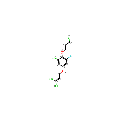 Fc1cc(OCC=C(Cl)Cl)cc(Cl)c1OCCCCl